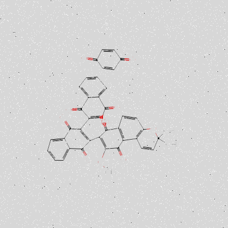 COC1=C(C2=C(C3=C(O)C(=O)c4ccccc4C3=O)C(=O)c3ccccc3C2=O)C(=O)c2ccc3c(c2C1=O)C=CC(C)(C)O3.O=C1C=CC(=O)C=C1